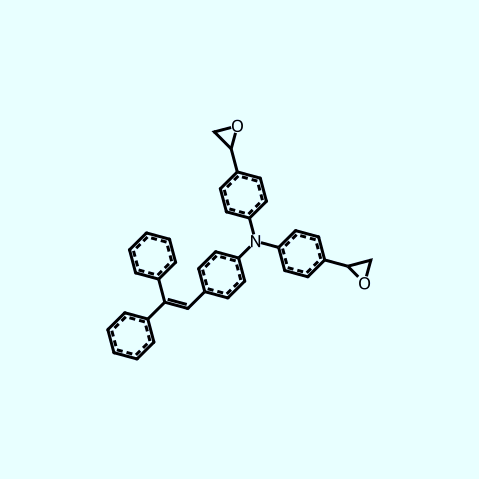 C(=C(c1ccccc1)c1ccccc1)c1ccc(N(c2ccc(C3CO3)cc2)c2ccc(C3CO3)cc2)cc1